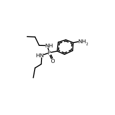 CCCNP(=O)(NCCC)c1ccc(N)cc1